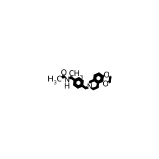 CC(=O)NC(C)c1ccc(CN2CCc3c(ccc4c3OCCO4)C2)cc1